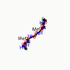 COc1cc2c(Oc3ccc(NC(=O)C4(C(=O)Nc5ccc(F)cc5)CC4)cc3F)ccnc2cc1OCCCCCNC(=O)CSSCC(=O)NCCCCCOc1cc2nccc(Oc3ccc(NC(=O)C4(c5ccc(F)cc5)CC4)cc3F)c2cc1OC